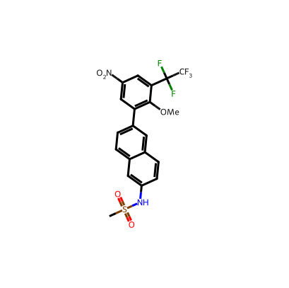 COc1c(-c2ccc3cc(NS(C)(=O)=O)ccc3c2)cc([N+](=O)[O-])cc1C(F)(F)C(F)(F)F